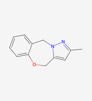 Cc1cc2n(n1)Cc1ccccc1OC2